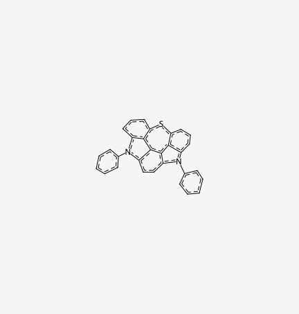 c1ccc(-n2c3cccc4sc5cccc6c5c5c(c43)c2ccc5n6-c2ccccc2)cc1